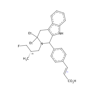 CCC1(CC)Cc2c([nH]c3ccccc23)C(c2ccc(/C=C/C(=O)O)cc2)N1C[C@H](C)CF